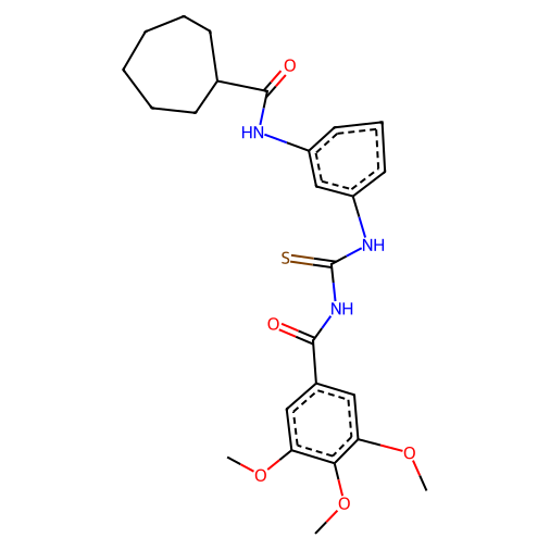 COc1cc(C(=O)NC(=S)Nc2cccc(NC(=O)C3CCCCCC3)c2)cc(OC)c1OC